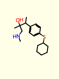 CNCC(C)(O)C(C)c1ccc(SC2CCCCC2)cc1